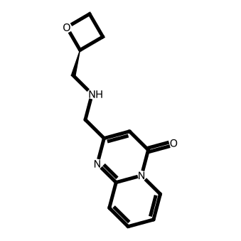 O=c1cc(CNC[C@@H]2CCO2)nc2ccccn12